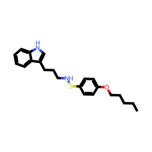 CCCCCOc1ccc(SNCCCc2c[nH]c3ccccc23)cc1